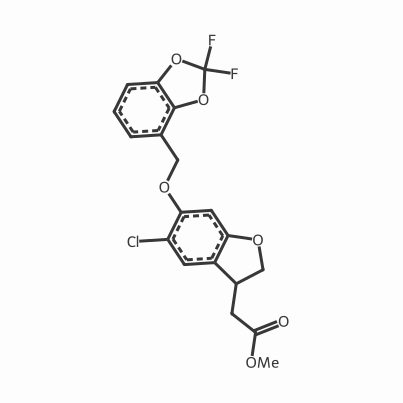 COC(=O)CC1COc2cc(OCc3cccc4c3OC(F)(F)O4)c(Cl)cc21